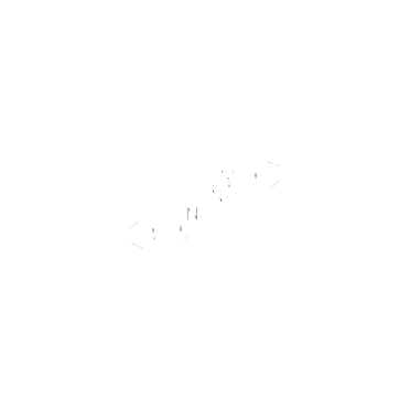 Cc1ccc(CC(=O)N2CCN(C(=O)Cc3ccc(C)cc3)CC2)cc1